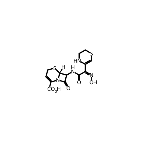 O=C(O)C1=CCS[C@@H]2C(NC(=O)/C(=N\O)C3=CSCCN3)C(=O)N12